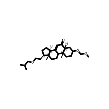 COCOC1CC[C@]2(C)C3CC[C@]4(C)[C@@H](CCOCC(C)C)CC[C@H]4C3=CC(=O)[C@@H]2C1